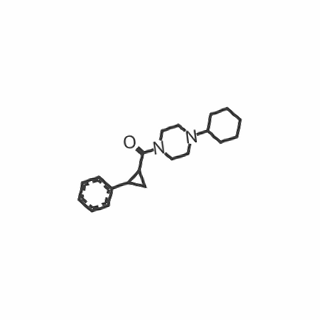 O=C(C1CC1c1ccccc1)N1CCN(C2CCCCC2)CC1